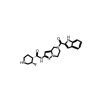 O=C(Nc1cc2n(n1)CCN(C(=O)c1cc3ccccc3[nH]1)C2)[C@H]1CCNC[C@@H]1F